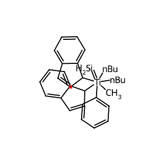 CCC[CH2][Ti]([CH3])(=[SiH2])([CH2]CCC)([c]1ccccc1)([CH]1C=Cc2ccccc21)[CH]1C=Cc2ccccc21